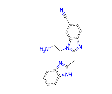 N#Cc1ccc2nc(Cc3nc4ccccc4[nH]3)n(CCN)c2c1